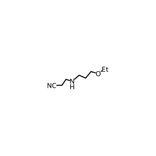 CCOCCCNCCC#N